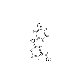 O=Cc1cccc(Oc2cccc(F)c2)c1